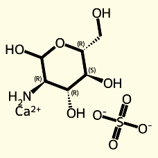 N[C@H]1C(O)O[C@H](CO)[C@@H](O)[C@@H]1O.O=S(=O)([O-])[O-].[Ca+2]